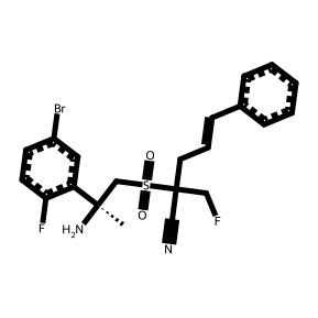 C[C@@](N)(CS(=O)(=O)C(C#N)(CF)C/C=C/c1ccccc1)c1cc(Br)ccc1F